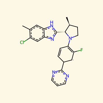 Cc1cc2[nH]c([C@@H]3[C@@H](C)CCN3C3=C(F)[CH]C(c4ncccn4)C=C3)nc2cc1Cl